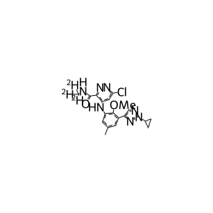 [2H]C([2H])([2H])NC(=O)c1nnc(Cl)cc1Nc1cc(C)cc(-c2cnn(C3CC3)n2)c1OC